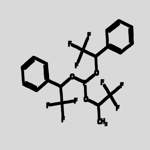 CC(OP(OC(c1ccccc1)C(F)(F)F)OC(c1ccccc1)C(F)(F)F)C(F)(F)F